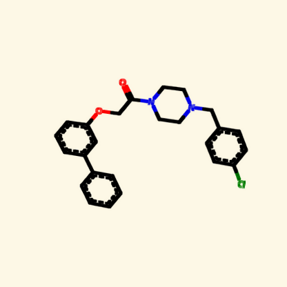 O=C(COc1cccc(-c2ccccc2)c1)N1CCN(Cc2ccc(Cl)cc2)CC1